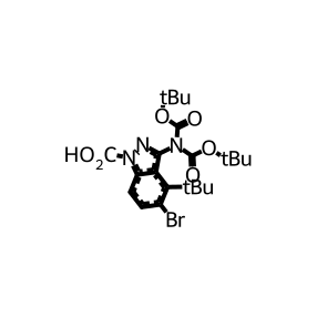 CC(C)(C)OC(=O)N(C(=O)OC(C)(C)C)c1nn(C(=O)O)c2ccc(Br)c(C(C)(C)C)c12